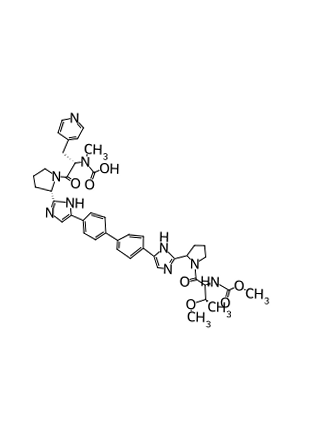 COC(=O)N[C@H](C(=O)N1CCCC1c1ncc(-c2ccc(-c3ccc(-c4cnc([C@@H]5CCCN5C(=O)[C@H](Cc5ccncc5)N(C)C(=O)O)[nH]4)cc3)cc2)[nH]1)[C@@H](C)OC